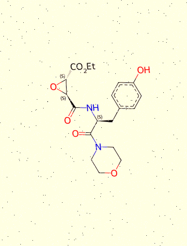 CCOC(=O)[C@H]1O[C@@H]1C(=O)N[C@@H](Cc1ccc(O)cc1)C(=O)N1CCOCC1